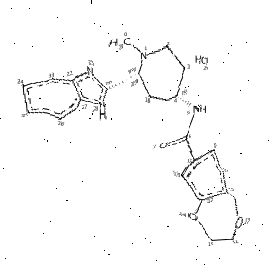 CN1CC[C@H](NC(=O)c2ccc3c(c2)OCCO3)C[C@@H]1c1nc2ccccc2[nH]1.Cl